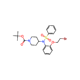 CC(C)(C)OC(=O)N1CCC(N(c2ccccc2OCCBr)S(=O)(=O)c2ccccc2)CC1